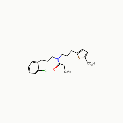 COCC(=O)N(CCCc1ccc(C(=O)O)s1)CCCc1ccccc1Cl